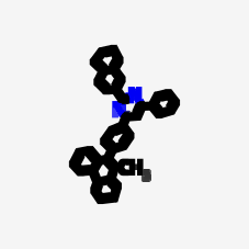 Cc1c(-c2ccc(-c3cc(-c4ccccc4)nc(-c4ccc5ccccc5c4)n3)cc2)c2ccccc2c2ccccc12